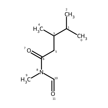 CC(C)C(C)CC(=O)N(C)C=O